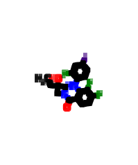 C=CC1(O)CN(C(=O)c2ccc(F)c(F)c2Nc2ccc(I)cc2F)C1